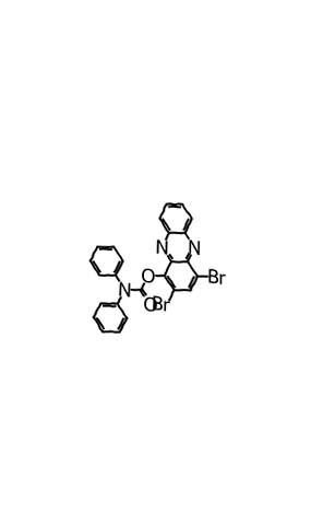 O=C(Oc1c(Br)cc(Br)c2nc3ccccc3nc12)N(c1ccccc1)c1ccccc1